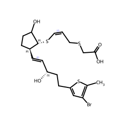 Cc1sc(CC[C@H](O)/C=C/[C@H]2CCC(O)[C@@H]2S/C=C\CSCC(=O)O)cc1Br